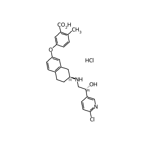 Cc1ccc(Oc2ccc3c(c2)C[C@@H](NC[C@H](O)c2ccc(Cl)nc2)CC3)cc1C(=O)O.Cl